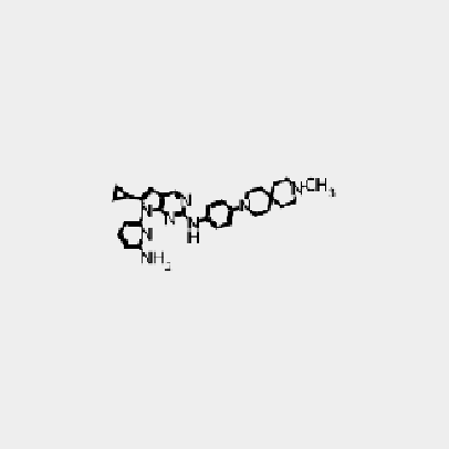 CN1CCC2(CC1)CCN(c1ccc(Nc3ncc4cc(C5CC5)n(-c5cccc(N)n5)c4n3)cc1)CC2